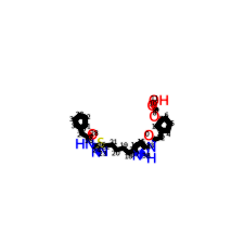 O=C(Cc1cccc(OCOO)c1)Nc1ccc(CCCCc2nnc(NC(=O)Cc3ccccc3)s2)nn1